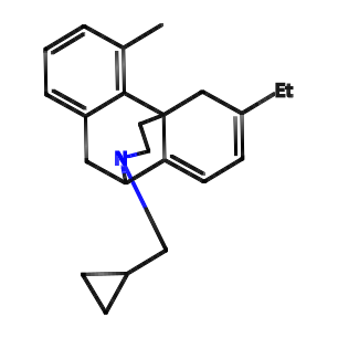 CCC1=CC=C2C3Cc4cccc(C)c4C2(CCN3CC2CC2)C1